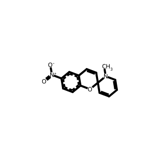 CN1C=CC=CC12C=Cc1cc([N+](=O)[O-])ccc1O2